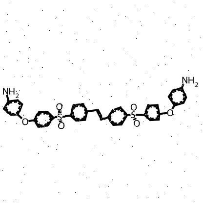 Nc1ccc(Oc2ccc(S(=O)(=O)c3ccc(C=Cc4ccc(S(=O)(=O)c5ccc(Oc6ccc(N)cc6)cc5)cc4)cc3)cc2)cc1